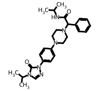 CC(C)NC(=O)C(c1ccccc1)N1CCN(c2ccc(-n3ncn(C(C)C)c3=O)cc2)CC1